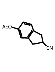 CC(=O)Oc1ccc2c(c1)CC(C#N)C2